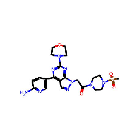 CS(=O)(=O)N1CCN(C(=O)Cn2ncc3c(-c4ccc(N)nc4)nc(N4CCOCC4)nc32)CC1